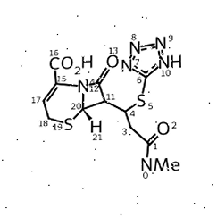 CNC(=O)CC(Sc1nnn[nH]1)C1C(=O)N2C(C(=O)O)=CCS[C@@H]12